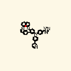 c1ccc(-n2ccc3ccc4c5cc(N(c6ccc(-c7cccnc7)cc6)c6ccc(-c7ncncn7)cc6)ccc5n(-c5ccccc5)c4c32)cc1